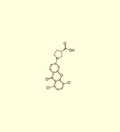 O=C(O)[C@@H]1CCN(c2ccc3c(=O)c4c(Cl)ccc(Cl)c4oc3c2)C1